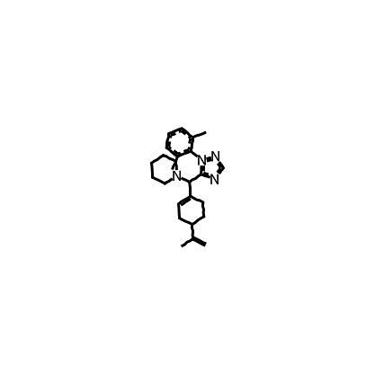 C=C(C)C1CC=C(C(c2ncnn2-c2c(C)cccc2C)N2CCCCC2)CC1